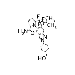 CC(C)Oc1cc2nn(C3CCC(CO)CC3)cc2cc1N1C(C(F)(F)F)=CC=CC1C(N)=O